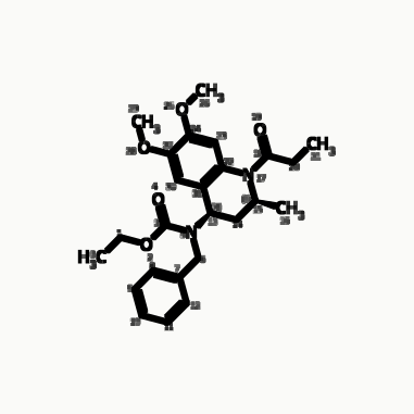 CCOC(=O)N(Cc1ccccc1)[C@@H]1C[C@H](C)N(C(=O)CC)c2cc(OC)c(OC)cc21